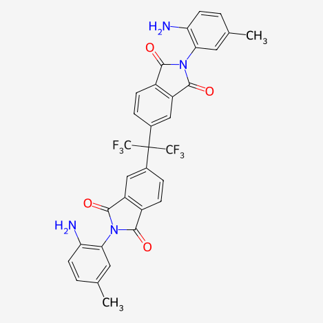 Cc1ccc(N)c(N2C(=O)c3ccc(C(c4ccc5c(c4)C(=O)N(c4cc(C)ccc4N)C5=O)(C(F)(F)F)C(F)(F)F)cc3C2=O)c1